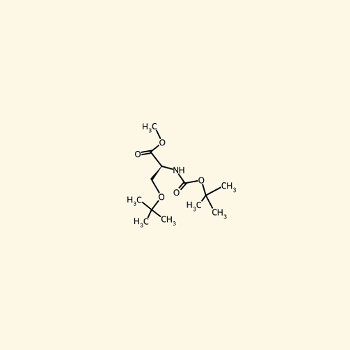 COC(=O)[C@H](COC(C)(C)C)NC(=O)OC(C)(C)C